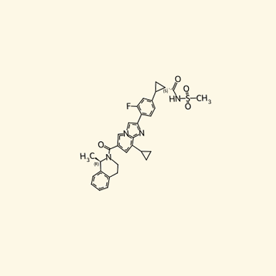 C[C@@H]1c2ccccc2CCN1C(=O)c1cc(C2CC2)c2nc(-c3ccc(C4C[C@@H]4C(=O)NS(C)(=O)=O)cc3F)cn2c1